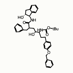 CC(C)(C)OC(=O)NC(CCc1ccc(OCc2ccccc2)cc1)C(O)CC(Cc1ccccc1)C(=O)N[C@@H]1c2ccccc2C[C@H]1O